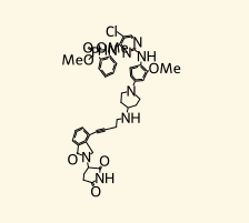 COc1cc(N2CCC(NCCC#Cc3cccc4c3CN(C3CCC(=O)NC3=O)C4=O)CC2)ccc1Nc1ncc(Cl)c(Nc2ccccc2P(=O)(OC)OC)n1